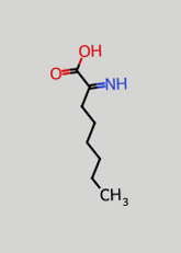 CCCCCCC(=N)C(=O)O